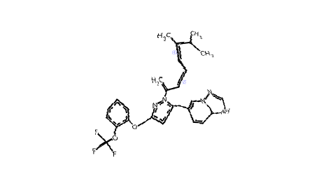 C=C(/C=C\C=C(\C)C(C)C)n1nc(Oc2ccccc2OC(F)(F)F)cc1C1=CN2N=CNC2C=C1